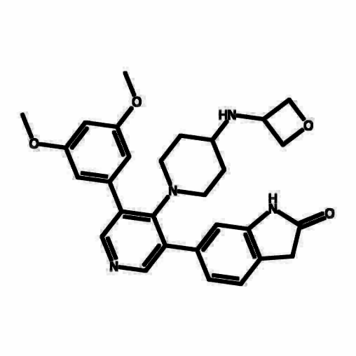 COc1cc(OC)cc(-c2cncc(-c3ccc4c(c3)NC(=O)C4)c2N2CCC(NC3COC3)CC2)c1